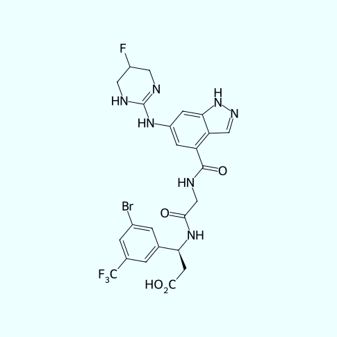 O=C(O)C[C@H](NC(=O)CNC(=O)c1cc(NC2=NCC(F)CN2)cc2[nH]ncc12)c1cc(Br)cc(C(F)(F)F)c1